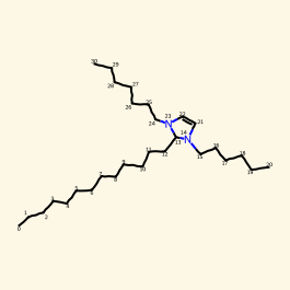 CCCCCCCCCCCCCC1N(CCCCCC)C=CN1CCCCCCC